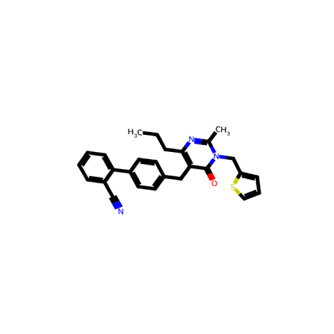 CCCc1nc(C)n(Cc2cccs2)c(=O)c1Cc1ccc(-c2ccccc2C#N)cc1